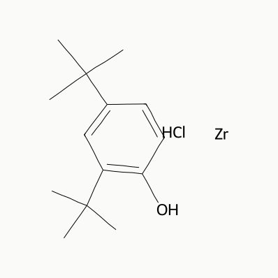 CC(C)(C)c1ccc(O)c(C(C)(C)C)c1.Cl.[Zr]